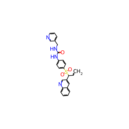 C=CC(c1cnc2ccccc2c1)S(=O)(=O)c1ccc(NC(=O)NCc2cccnc2)cc1